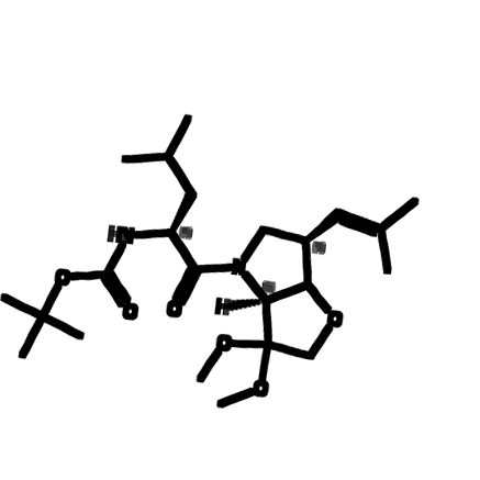 COC1(OC)COC2[C@H](C=C(C)C)CN(C(=O)[C@H](CC(C)C)NC(=O)OC(C)(C)C)[C@@H]21